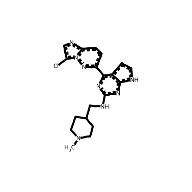 CN1CCC(CNc2nc(-c3ccc4ncc(Cl)n4n3)c3cc[nH]c3n2)CC1